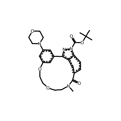 CN1CCOCCOc2cc(cc(N3CCOCC3)c2)-c2nn(C(=O)OC(C)(C)C)c3ccc(cc23)C1=O